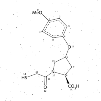 COc1ccc(OC2C[C@@H](C(=O)O)N(C(=O)CS)C2)cc1